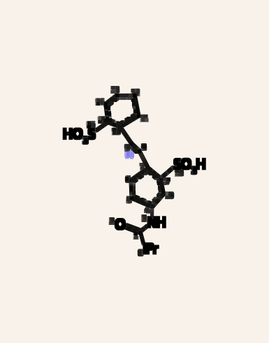 CC(C)C(=O)Nc1ccc(/C=C/c2ccccc2S(=O)(=O)O)c(S(=O)(=O)O)c1